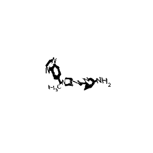 CC(c1ccc2nccnc2c1)N1CCN(c2ccc(N)cn2)CC1